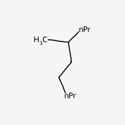 [CH2]CCC(C)CCC[CH]C